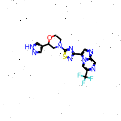 FC(F)(F)c1cn2c(-c3nsc(N4CCOC(c5cn[nH]c5)C4)n3)cnc2cn1